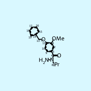 COc1cc(C(=O)N(N)C(C)C)ccc1OCc1ccccc1